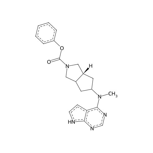 CN(c1ncnc2[nH]ccc12)C1CC2CN(C(=O)Oc3ccccc3)C[C@@H]2C1